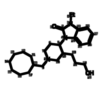 CCn1c(=O)n(C2CCN(CC3CCCCCCC3)CC2CCCO)c2ccccc21